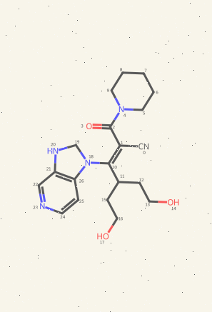 N#CC(C(=O)N1CCCCC1)=C(C(CCO)CCO)N1CNc2cnccc21